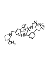 C[C@H]1CCCN(Cc2cnc(CNc3cccc(C(CC4(C#N)CC4)c4nncn4C)c3)c(C(F)(F)F)c2)C1